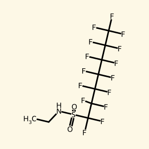 CCNS(=O)(=O)C(F)(F)C(F)(F)C(F)(F)C(F)(F)C(F)(F)C(F)(F)C(F)(F)F